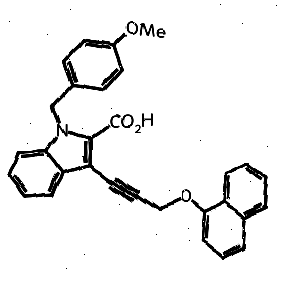 COc1ccc(Cn2c(C(=O)O)c(C#CCOc3cccc4ccccc34)c3ccccc32)cc1